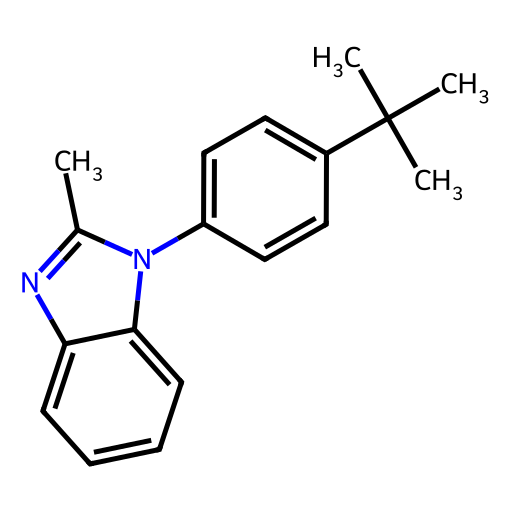 Cc1nc2ccccc2n1-c1ccc(C(C)(C)C)cc1